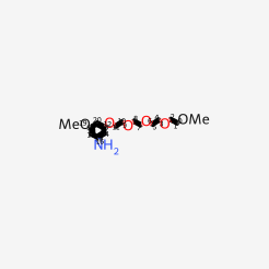 COCCOCCOCCOCCOc1cc(N)cc(OC)c1